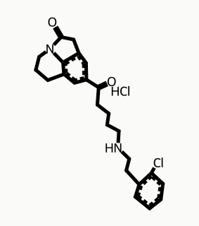 Cl.O=C(CCCCNCCc1ccccc1Cl)c1cc2c3c(c1)CC(=O)N3CCC2